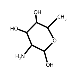 CC1OC(O)C(N)C(O)C1O